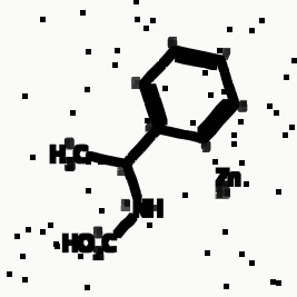 CC(NC(=O)O)c1ccccc1.[Zn]